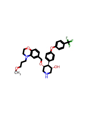 COCCCN1CCOc2ccc(CO[C@H]3CNC[C@@H](O)[C@@H]3c3ccc(Oc4ccc(C(F)(F)F)cc4)cc3)cc21